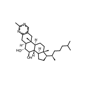 Cc1ncc2c(n1)C[C@@H]1[C@@H](O)[C@H](O)[C@@H]3[C@H](CC[C@]4(C)[C@@H]([C@H](C)CCCC(C)C)CC[C@@H]34)[C@@]1(C)C2